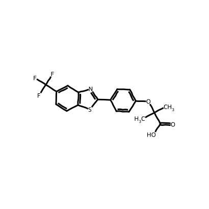 CC(C)(Oc1ccc(-c2nc3cc(C(F)(F)F)ccc3s2)cc1)C(=O)O